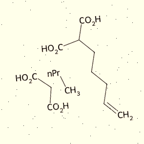 C=CCCCC(C(=O)O)C(=O)O.CCCC.O=C(O)CC(=O)O